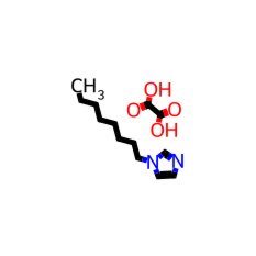 CCCCCCCCn1ccnc1.O=C(O)C(=O)O